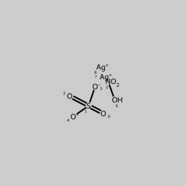 O=S(=O)([O-])[O-].O=[N+]([O-])O.[Ag+].[Ag+]